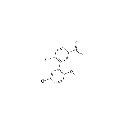 COc1[c]cc(Cl)cc1-c1cc([N+](=O)[O-])ccc1Cl